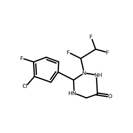 O=C1CNC(c2ccc(F)c(Cl)c2)N(C(F)C(F)F)N1